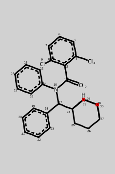 O=C(c1c(Cl)cccc1Cl)N(c1ccccc1)C(c1ccccc1)C12CCC(CC1)CN2